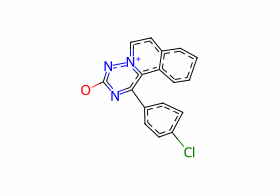 [O-]c1nc(-c2ccc(Cl)cc2)c2c3ccccc3cc[n+]2n1